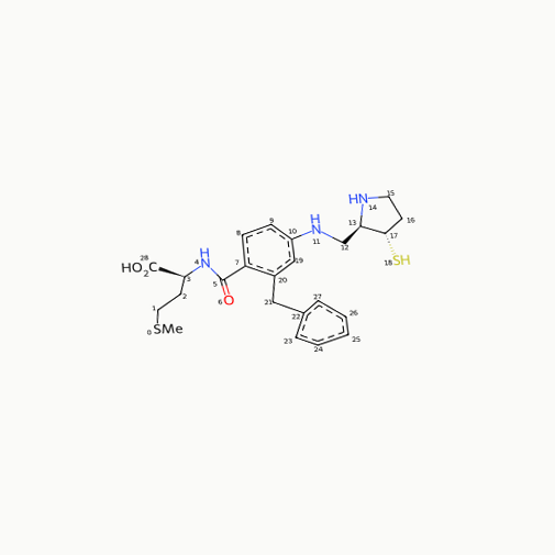 CSCC[C@H](NC(=O)c1ccc(NC[C@H]2NCC[C@@H]2S)cc1Cc1ccccc1)C(=O)O